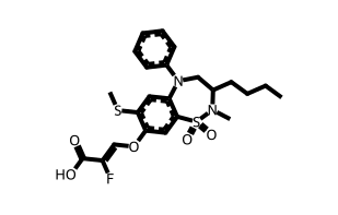 CCCCC1CN(c2ccccc2)c2cc(SC)c(OC=C(F)C(=O)O)cc2S(=O)(=O)N1C